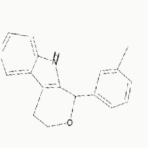 Cc1cccc(C2OCCc3c2[nH]c2ccccc32)c1